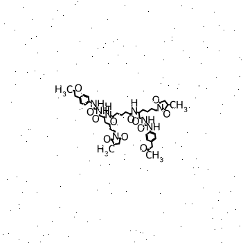 CC(=O)Cc1ccc(NC(=O)NC(=O)C(CCCCN2C(=O)CC(C)C2=O)NC(=O)CCCC(=O)NC(CCCCN2C(=O)CC(C)C2=O)C(=O)NC(=O)Nc2ccc(CC(C)=O)cc2)cc1